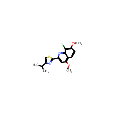 COc1ccc2c(OC)cc(-c3nc(C(C)C)cs3)nc2c1Cl